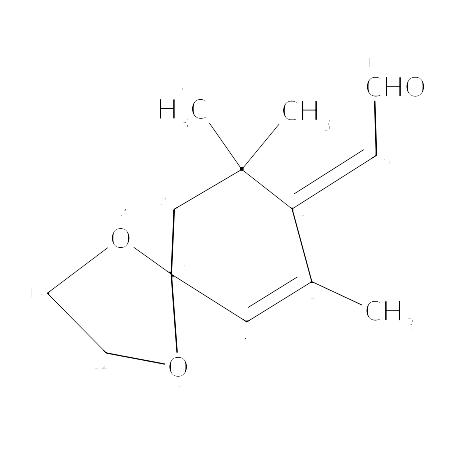 CC1=CC2(CC(C)(C)/C1=C\C=O)OCCO2